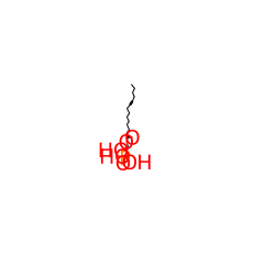 CCCCC#CCCCCCCCC(=O)OCC(O)CP(=O)(O)O